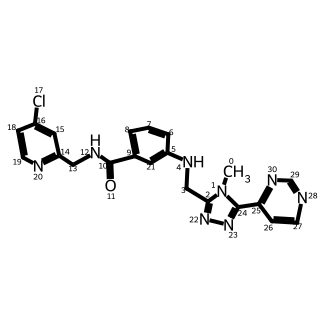 Cn1c(CNc2cccc(C(=O)NCc3cc(Cl)ccn3)c2)nnc1-c1ccncn1